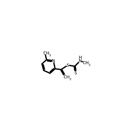 C=C(SC(=S)NC)c1cccc(C)n1